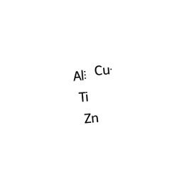 [Al].[Cu].[Ti].[Zn]